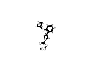 CC(C)(C)OC(=O)N1CC(c2cnccc2OC2COC2)C1